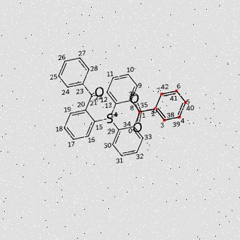 O=C(c1ccccc1)c1ccccc1[S+](c1ccccc1C(=O)c1ccccc1)c1ccccc1C(=O)c1ccccc1